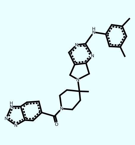 Cc1cc(C)cc(Nc2ncc3c(n2)CN(C2(C)CCN(C(=O)c4ccc5[nH]nnc5c4)CC2)C3)c1